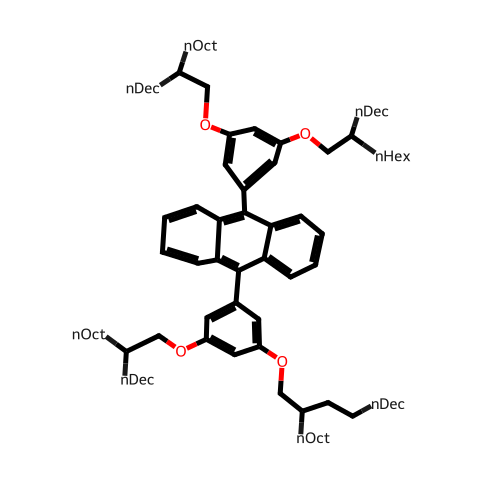 CCCCCCCCCCCCC(CCCCCCCC)COc1cc(OCC(CCCCCCCC)CCCCCCCCCC)cc(-c2c3ccccc3c(-c3cc(OCC(CCCCCC)CCCCCCCCCC)cc(OCC(CCCCCCCC)CCCCCCCCCC)c3)c3ccccc23)c1